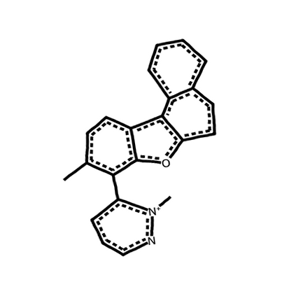 Cc1ccc2c(oc3ccc4ccccc4c32)c1-c1cccn[n+]1C